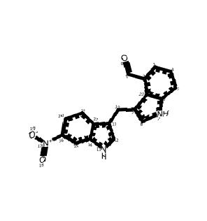 O=Cc1cccc2[nH]cc(Cc3c[nH]c4cc([N+](=O)[O-])ccc34)c12